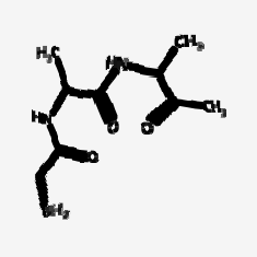 BCC(=O)NC(C)C(=O)NC(C)C(C)=O